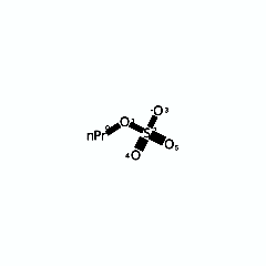 CCCOS([O])(=O)=O